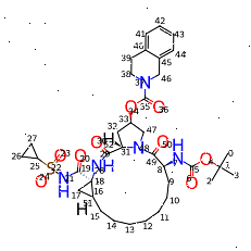 CC(C)(C)OC(=O)N[C@H]1CCCCCCC[C@H]2C[C@@]2(C(=O)NS(=O)(=O)C2CC2)NC(=O)[C@@H]2C[C@@H](OC(=O)N3CCc4ccccc4C3)CN2C1=O